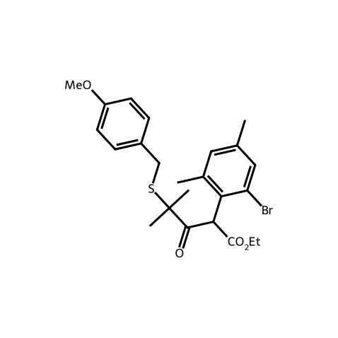 CCOC(=O)C(C(=O)C(C)(C)SCc1ccc(OC)cc1)c1c(C)cc(C)cc1Br